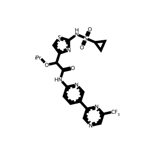 CC(C)OC(C(=O)Nc1ccc(-c2cncc(C(F)(F)F)n2)cn1)c1csc(NS(=O)(=O)C2CC2)n1